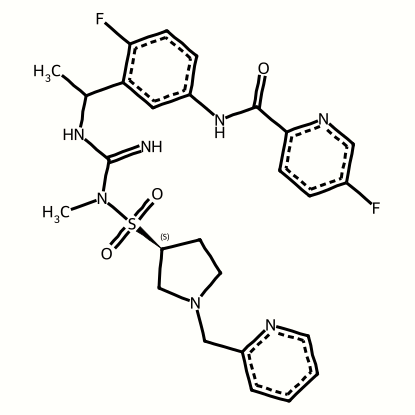 CC(NC(=N)N(C)S(=O)(=O)[C@H]1CCN(Cc2ccccn2)C1)c1cc(NC(=O)c2ccc(F)cn2)ccc1F